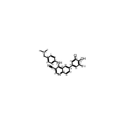 CN(C)Cc1ccc(Nc2c(C#N)cnc3ccc(-c4cc(F)c(O)c(Cl)c4)cc23)cc1